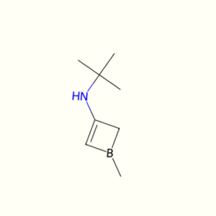 CB1C=C(NC(C)(C)C)C1